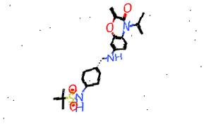 C=C1Oc2cc(NC[C@H]3CC[C@H](NS(=O)(=O)C(C)(C)C)CC3)ccc2N(C(C)C)C1=O